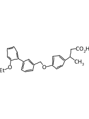 CCOc1ccccc1-c1cccc(COc2ccc(C(C)CC(=O)O)cc2)c1